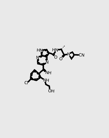 C[C@@H](NC(=O)c1c[nH]c2ncc(C(=N)c3ccc(Cl)cc3NCCO)nc12)C(=O)N1CC(C#N)C1